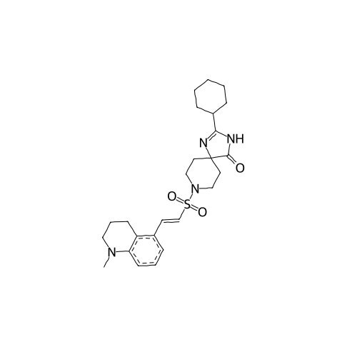 CN1CCCc2c(C=CS(=O)(=O)N3CCC4(CC3)N=C(C3CCCCC3)NC4=O)cccc21